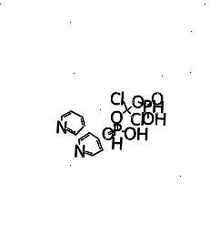 O=[PH](O)OC(Cl)(Cl)O[PH](=O)O.c1ccncc1.c1ccncc1